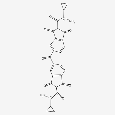 N[C@H](C(=O)C1C(=O)c2ccc(C(=O)c3ccc4c(c3)C(=O)C(C(=O)[C@@H](N)C3CC3)C4=O)cc2C1=O)C1CC1